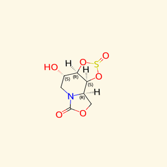 O=C1OC[C@@H]2[C@@H]3OS(=O)O[C@@H]3[C@@H](O)CN12